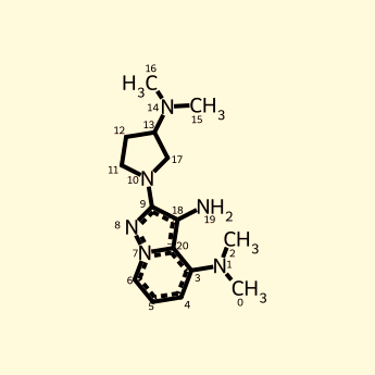 CN(C)c1cccn2nc(N3CCC(N(C)C)C3)c(N)c12